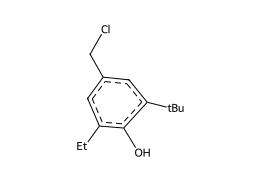 CCc1cc(CCl)cc(C(C)(C)C)c1O